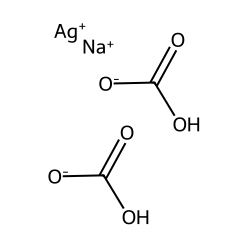 O=C([O-])O.O=C([O-])O.[Ag+].[Na+]